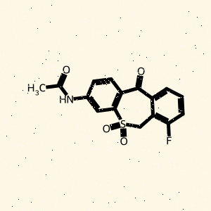 CC(=O)Nc1ccc2c(c1)S(=O)(=O)Cc1c(F)cccc1C2=O